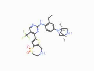 CCc1cc(N2C[C@H]3C[C@@H]2CN3)ccc1Nc1ncc(C(F)(F)F)c(-c2cc3c(s2)CNCCS3(=O)=O)n1